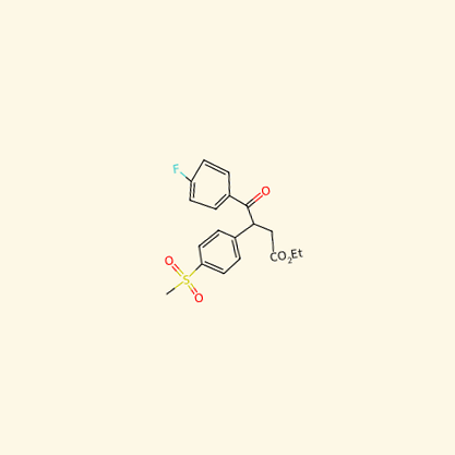 CCOC(=O)CC(C(=O)c1ccc(F)cc1)c1ccc(S(C)(=O)=O)cc1